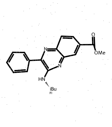 CC[C@@H](C)Nc1nc2cc(C(=O)OC)ccc2nc1-c1ccccc1